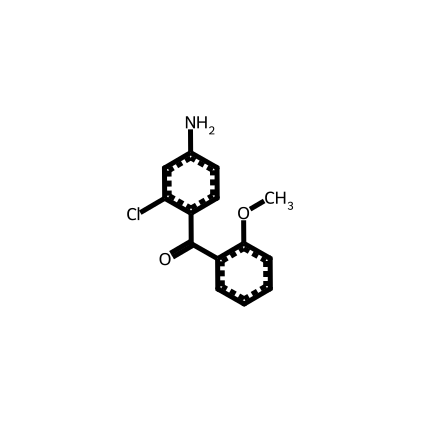 COc1ccccc1C(=O)c1ccc(N)cc1Cl